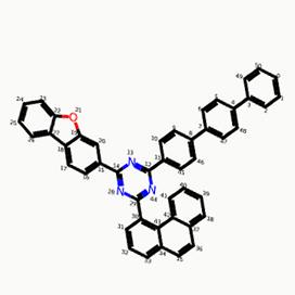 c1ccc(-c2ccc(-c3ccc(-c4nc(-c5ccc6c(c5)oc5ccccc56)nc(-c5cccc6ccc7ccccc7c56)n4)cc3)cc2)cc1